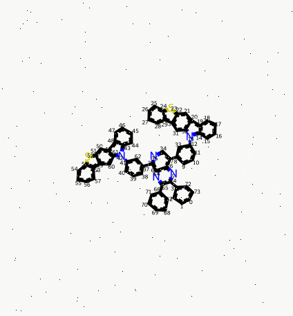 c1ccc(-c2nc3c(-c4cccc(-n5c6ccccc6c6cc7sc8ccccc8c7cc65)c4)cnc(-c4cccc(-n5c6ccccc6c6cc7sc8ccccc8c7cc65)c4)c3nc2-c2ccccc2)cc1